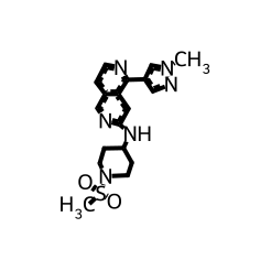 Cn1cc(-c2nccc3cnc(NC4CCN(S(C)(=O)=O)CC4)cc23)cn1